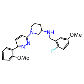 COc1ccc(F)c(CNC2CCCN(c3ccc(-c4ccccc4OC)nn3)C2)c1